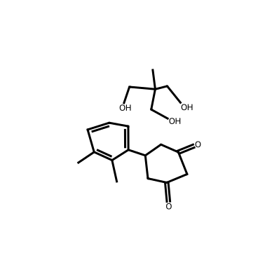 CC(CO)(CO)CO.Cc1cccc(C2CC(=O)CC(=O)C2)c1C